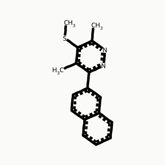 CSc1c(C)nnc(-c2ccc3ccccc3c2)c1C